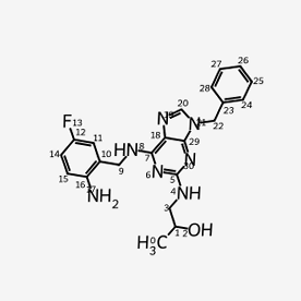 CC(O)CNc1nc(NCc2cc(F)ccc2N)c2ncn(Cc3ccccc3)c2n1